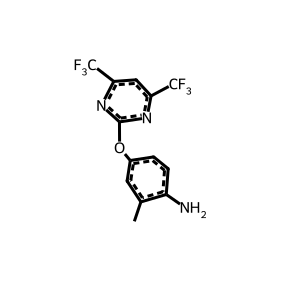 Cc1cc(Oc2nc(C(F)(F)F)cc(C(F)(F)F)n2)ccc1N